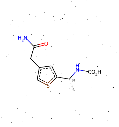 C[C@@H](NC(=O)O)c1cc(CC(N)=O)cs1